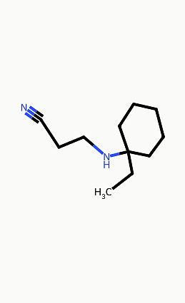 CCC1(NCCC#N)CCCCC1